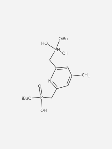 Cc1cc(CP(=O)(O)OCC(C)C)nc(C[PH](O)(O)OCC(C)C)c1